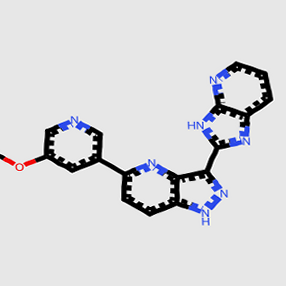 COc1cncc(-c2ccc3[nH]nc(-c4nc5cccnc5[nH]4)c3n2)c1